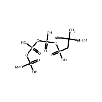 CCCCCCCC(C)(CCCC)CP(=O)(O)OP(=O)(O)OP(=O)(O)OP(=O)(O)OC